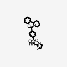 O=C(c1ccc(S(=O)(=O)Nc2nccs2)cc1)N1CCCCC1c1ccccc1